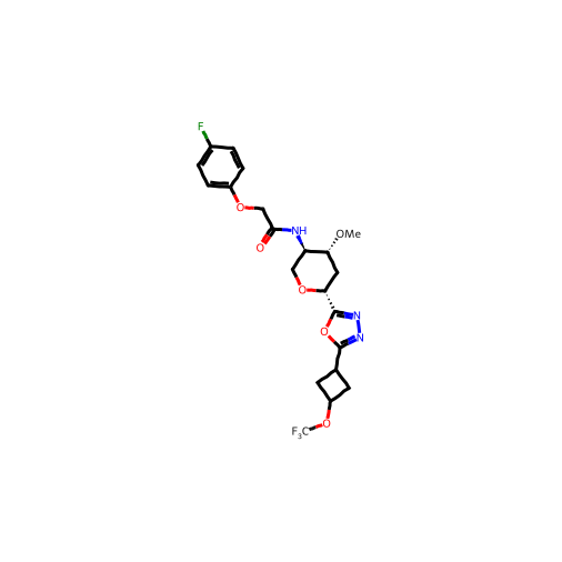 CO[C@@H]1C[C@H](c2nnc(C3CC(OC(F)(F)F)C3)o2)OC[C@H]1NC(=O)COc1ccc(F)cc1